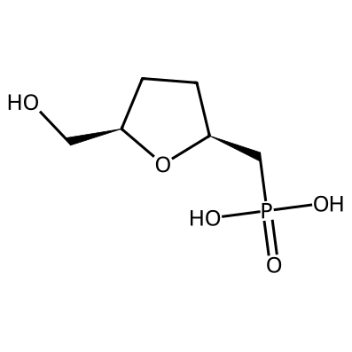 O=P(O)(O)C[C@@H]1CC[C@H](CO)O1